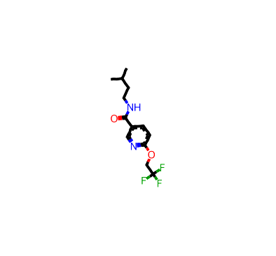 CC(C)CCNC(=O)c1ccc(OCC(F)(F)F)nc1